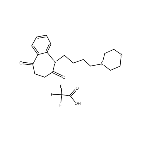 O=C(O)C(F)(F)F.O=C1CCC(=O)N(CCCCN2CCSCC2)c2ccccc21